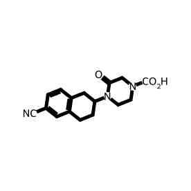 N#Cc1ccc2c(c1)CCC(N1CCN(C(=O)O)CC1=O)C2